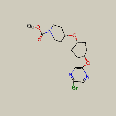 CC(C)(C)OC(=O)N1CCC(O[C@H]2CC[C@H](Oc3cnc(Br)cn3)CC2)CC1